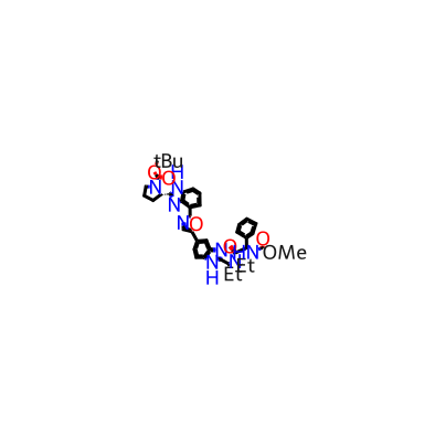 CC[C@@H](c1nc2cc(-c3cnc(-c4cccc5[nH]c([C@@H]6CCCN6C(=O)OC(C)(C)C)nc45)o3)ccc2[nH]1)N(CC)C(=O)[C@H](NC(=O)OC)c1ccccc1